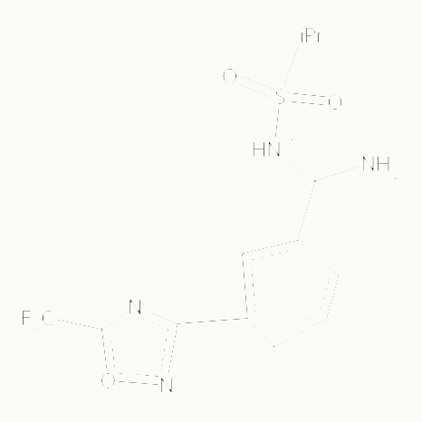 CC(C)S(=O)(=O)NC(N)c1cccc(-c2noc(C(F)(F)F)n2)c1